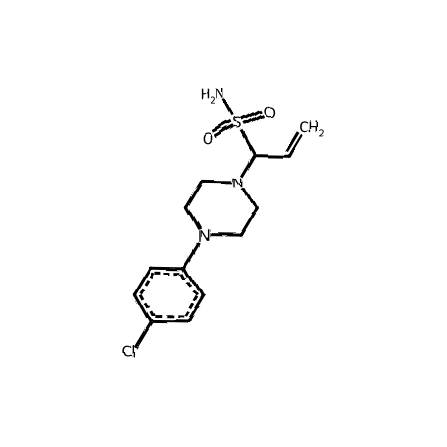 C=CC(N1CCN(c2ccc(Cl)cc2)CC1)S(N)(=O)=O